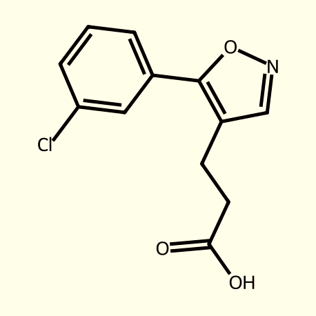 O=C(O)CCc1cnoc1-c1cccc(Cl)c1